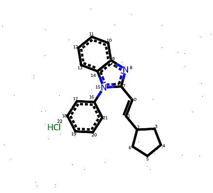 C(=CC1CCCC1)c1nc2ccccc2n1-c1ccccc1.Cl